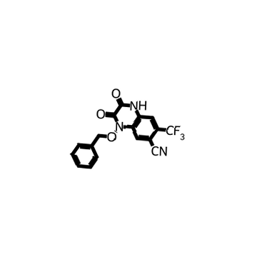 N#Cc1cc2c(cc1C(F)(F)F)[nH]c(=O)c(=O)n2OCc1ccccc1